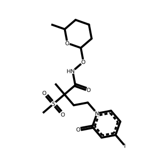 CC1CCCC(ONC(=O)C(C)(CCn2ccc(I)cc2=O)S(C)(=O)=O)O1